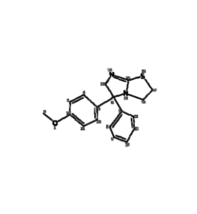 COc1ccc(C2(c3ccccc3)CN=C3SCCN32)cc1